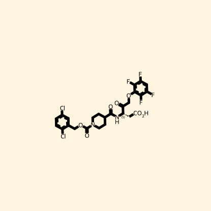 O=C(O)C[C@H](NC(=O)C1CCN(C(=O)OCc2cc(Cl)ccc2Cl)CC1)C(=O)COc1c(F)c(F)cc(F)c1F